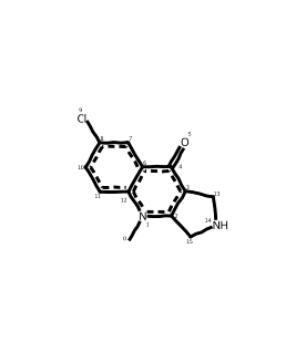 Cn1c2c(c(=O)c3cc(Cl)ccc31)CNC2